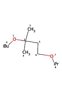 CCC(C)OC(C)(C)CCOC(C)C